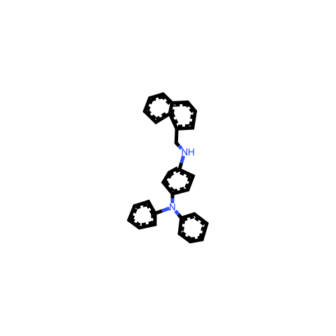 c1ccc(N(c2ccccc2)c2ccc(NCc3cccc4ccccc34)cc2)cc1